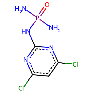 NP(N)(=O)Nc1nc(Cl)cc(Cl)n1